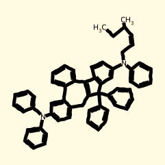 CCC(C)/C=C\CN(c1ccccc1)c1ccc2c(c1)C(c1ccccc1)(c1ccccc1)C1=C2c2ccccc2-c2cc(N(c3ccccc3)c3ccccc3)ccc2C1